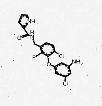 Nc1cc(Cl)cc(Oc2c(Cl)ccc(CNC(=O)c3ccc[nH]3)c2F)c1